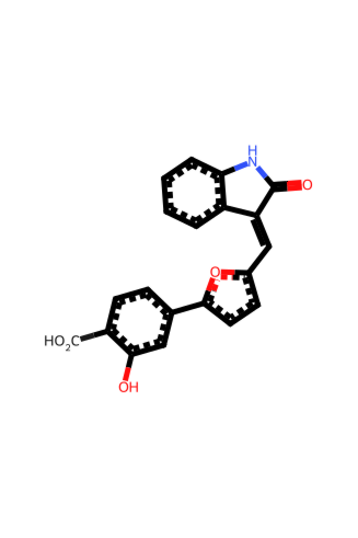 O=C1Nc2ccccc2/C1=C\c1ccc(-c2ccc(C(=O)O)c(O)c2)o1